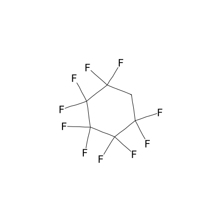 FC1(F)CC(F)(F)C(F)(F)C(F)(F)C1(F)F